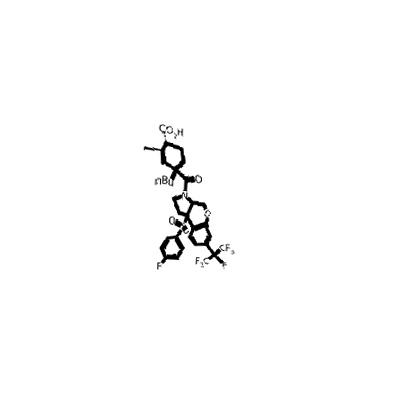 CCCCC1(C(=O)N2CCC3(S(=O)(=O)c4ccc(F)cc4)c4ccc(C(F)(C(F)(F)F)C(F)(F)F)cc4OCC23)CC[C@@H](C(=O)O)[C@H](C)C1